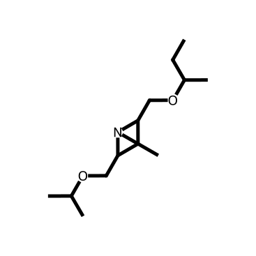 CCC(C)OCC1N2C(COC(C)C)C12C